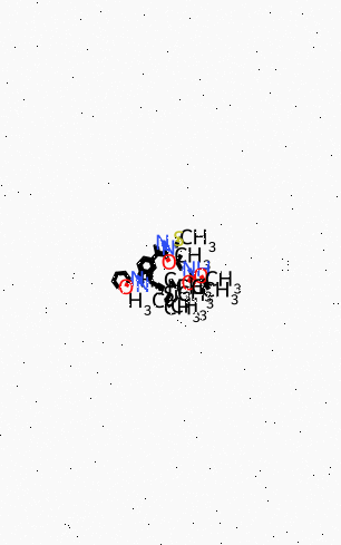 CSCn1ncc(-c2ccc3c(c2)c(C#C[Si](C(C)C)(C(C)C)C(C)C)nn3C2CCCCO2)c1OC(C)CNC(=O)OC(C)(C)C